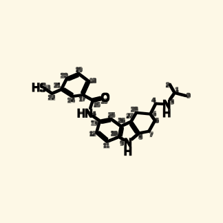 CC(C)NCC1CCc2[nH]c3ccc(NC(=O)c4cccc(CS)c4)cc3c2C1